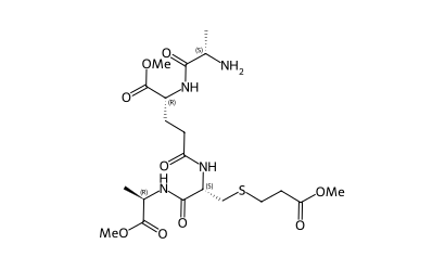 COC(=O)CCSC[C@@H](NC(=O)CC[C@@H](NC(=O)[C@H](C)N)C(=O)OC)C(=O)N[C@H](C)C(=O)OC